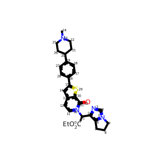 CCOC(=O)C(c1ncn2c1CCC2)n1ccc2cc(-c3ccc(C4CCN(C)CC4)cc3)sc2c1=O